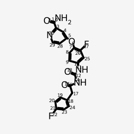 NC(=O)c1cc(Oc2ccc(NC(=O)NC(=O)Cc3ccc(F)cc3)cc2F)ccn1